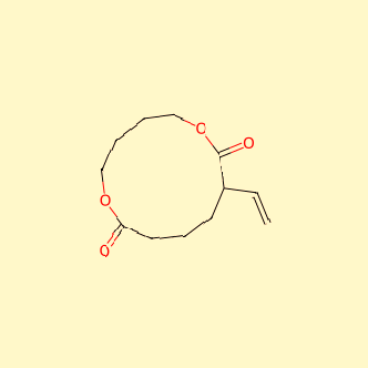 C=CC1CCCC(=O)OCCCCOC1=O